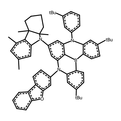 Cc1cc(C)c2c(c1)N(c1cc3c4c(c1)N(c1ccc5c(c1)oc1ccccc15)c1cc(C(C)(C)C)ccc1B4c1ccc(C(C)(C)C)cc1N3c1cccc(C(C)(C)C)c1)C1(C)CCCCC21C